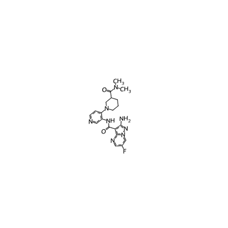 CN(C)C(=O)C1CCCN(c2ccncc2NC(=O)c2c(N)nn3cc(F)cnc23)C1